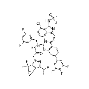 Cn1nc(NS(C)(=O)=O)c2c(Cl)ccc(-n3c([C@H](Cc4cc(F)cc(F)c4)NC(=O)Cn4nc(C(F)F)c5c4C(F)(F)C4CC54)nc4cc(-c5cc(F)c(F)c(F)c5)ccc4c3=O)c21